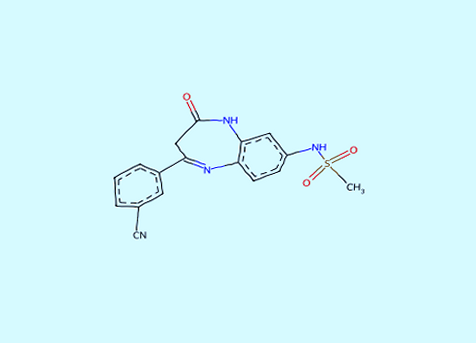 CS(=O)(=O)Nc1ccc2c(c1)NC(=O)CC(c1cccc(C#N)c1)=N2